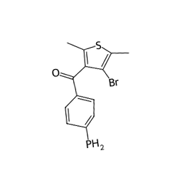 Cc1sc(C)c(C(=O)c2ccc(P)cc2)c1Br